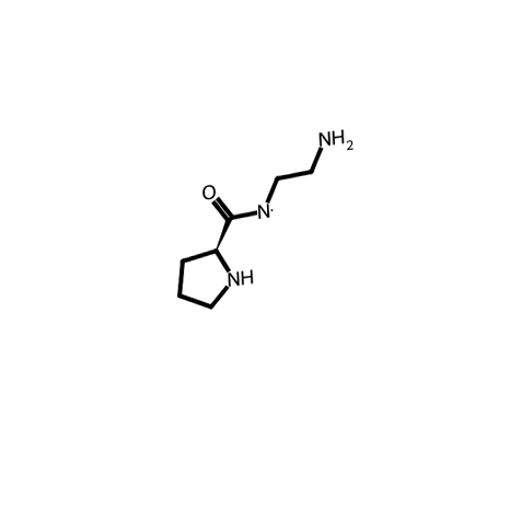 NCC[N]C(=O)[C@@H]1CCCN1